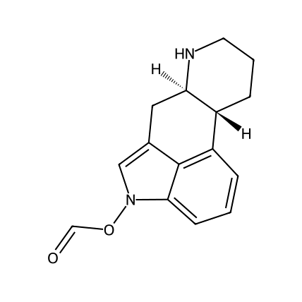 O=COn1cc2c3c(cccc31)[C@H]1CCCN[C@@H]1C2